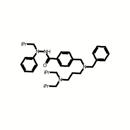 CC(C)CN(CCCN(Cc1ccccc1)Cc1ccc(C(=O)NN(CC(C)C)c2ccccc2)cc1)CC(C)C